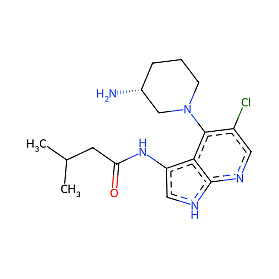 CC(C)CC(=O)Nc1c[nH]c2ncc(Cl)c(N3CCC[C@@H](N)C3)c12